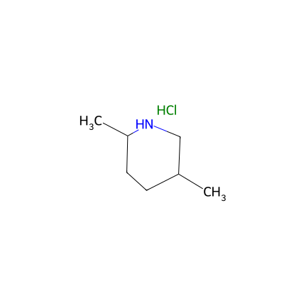 CC1CCC(C)NC1.Cl